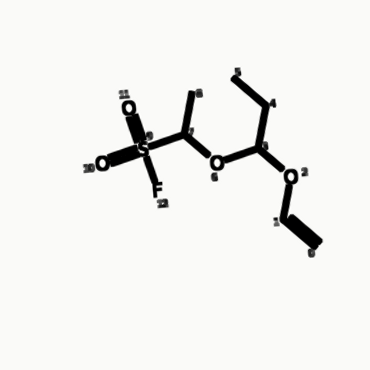 C=COC(CC)OC(C)S(=O)(=O)F